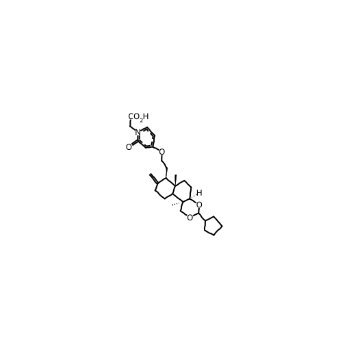 C=C1CCC2[C@]3(C)COC(C4CCCC4)O[C@@H]3CC[C@@]2(C)[C@@H]1CCOc1ccn(CC(=O)O)c(=O)c1